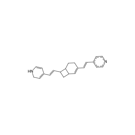 C1=CC(/C=C/C2CC3C=C(/C=C/c4ccncc4)CCC32)=CCN1